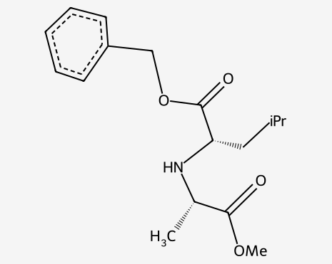 COC(=O)[C@H](C)N[C@@H](CC(C)C)C(=O)OCc1ccccc1